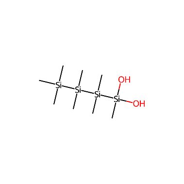 C[Si](C)(C)[Si](C)(C)[Si](C)(C)[Si](C)(O)O